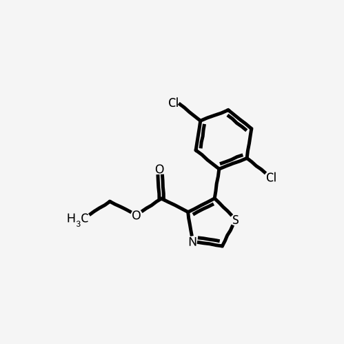 CCOC(=O)c1ncsc1-c1cc(Cl)ccc1Cl